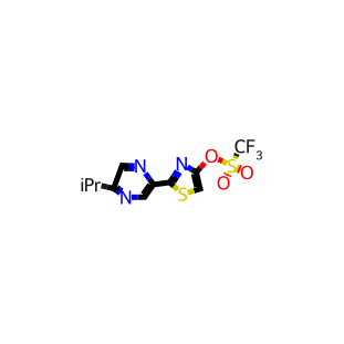 CC(C)c1cnc(-c2nc(OS(=O)(=O)C(F)(F)F)cs2)cn1